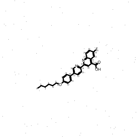 CCCCCCOc1ccc(-c2ccc(-c3cc(C(=O)O)c4cc(F)ccc4n3)nc2)cc1